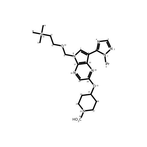 CC(C)n1ncnc1-c1cn(COCC[Si](C)(C)C)c2ncc(OC3CCN(C(=O)O)CC3)nc12